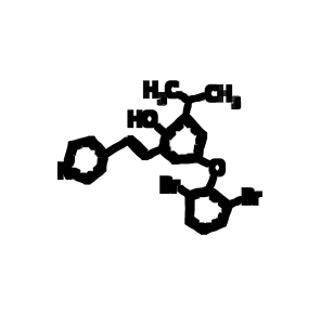 CC(C)c1cc(Oc2c(Br)cccc2Br)cc(C=Cc2ccncc2)c1O